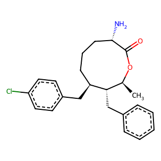 C[C@@H]1OC(=O)[C@@H](N)CCC[C@H](Cc2ccc(Cl)cc2)[C@H]1Cc1ccccc1